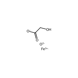 O=C([O-])CO.[Fe+3].[O-2]